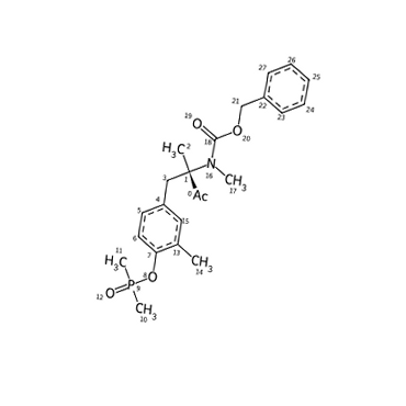 CC(=O)[C@](C)(Cc1ccc(OP(C)(C)=O)c(C)c1)N(C)C(=O)OCc1ccccc1